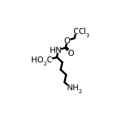 NCCCCC(NC(=O)OCC(Cl)(Cl)Cl)C(=O)O